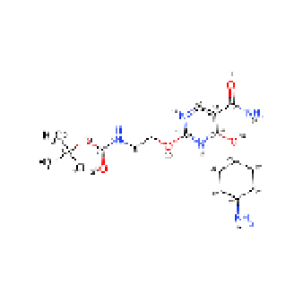 CC(C)(C)OC(=O)NCCOc1ncc(C(N)=O)c(OC2CCC(N)CC2)n1